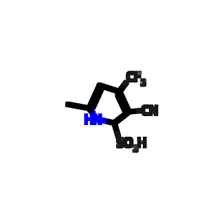 CC1=CC(C(F)(F)F)=C(C#N)C(S(=O)(=O)O)N1